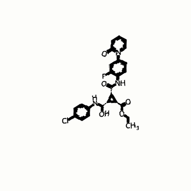 CCOC(=O)[C@@H]1[C@@H](C(=O)Nc2ccc(-n3ccccc3=O)cc2F)[C@H]1C(O)Nc1ccc(Cl)cc1